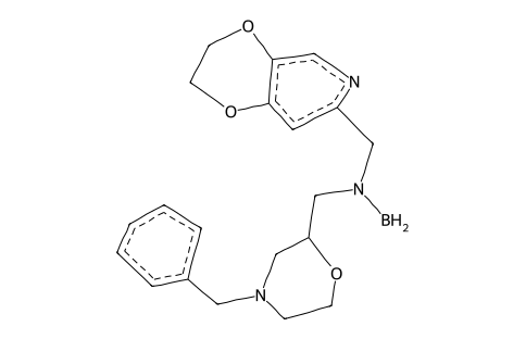 BN(Cc1cc2c(cn1)OCCO2)CC1CN(Cc2ccccc2)CCO1